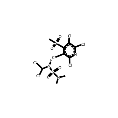 CN(C)S(=O)(=S)N(F)C(Cl)Cl.CS(=O)(=O)c1c(Cl)c(Cl)nc(Cl)c1Cl